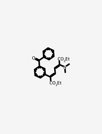 CCOC(=O)/C(=C/C=C(/C(=O)OCC)c1cccc(C(=O)c2ccccc2)c1)N(C)C